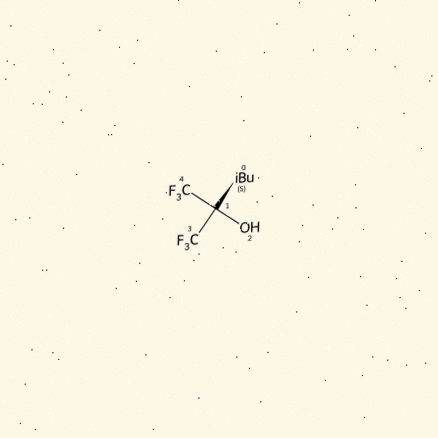 CC[C@H](C)C(O)(C(F)(F)F)C(F)(F)F